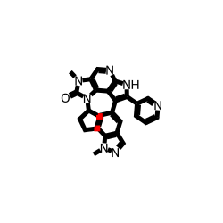 Cn1ncc2cc(-c3c(-c4cccnc4)[nH]c4ncc5c(c34)n(C3CCCC3)c(=O)n5C)ccc21